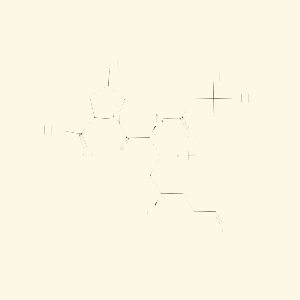 C=CCC[C@@H](C)C[C@@H](C)[C@H](NC(=O)OC(C)(C)C)C(=O)N1CC(O)CC1C(=O)O